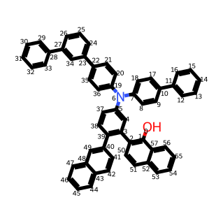 Oc1c(-c2cc(N(c3ccc(-c4ccccc4)cc3)c3ccc(-c4cccc(-c5ccccc5)c4)cc3)ccc2-c2ccc3ccccc3c2)ccc2ccccc12